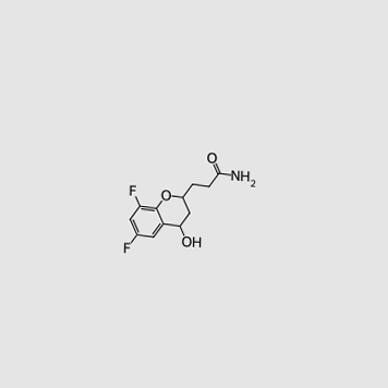 NC(=O)CCC1CC(O)c2cc(F)cc(F)c2O1